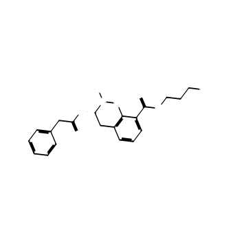 CCCCOC(=O)c1cccc2c1OB(O)[C@@H](NC(=O)Cc1ccccc1)C2